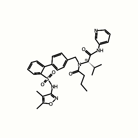 CCCC(=O)N(Cc1ccc(-c2ccccc2S(=O)(=O)Nc2noc(C)c2C)cc1)[C@H](C(=O)Nc1cccnc1)C(C)C